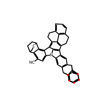 N#Cc1cc2c(c3c1C1CCC3CC1)c1c3c4c(c5c6cc7c(cc6n2c51)C1c2ccccc2C7c2ccccc21)CCc1cccc(c1-4)CC3